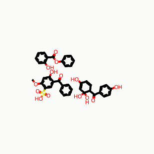 COc1cc(O)c(C(=O)c2ccccc2)cc1S(=O)(=O)O.O=C(Oc1ccccc1)c1ccccc1O.O=C(c1ccc(O)cc1)C1C=CC(O)=CC1(O)O